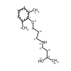 Cc1cccc(C)c1OCCCNCCC(C)O